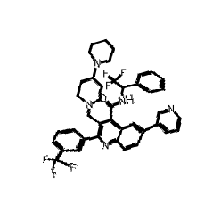 O=C(NC(c1ccccc1)C(F)(F)F)c1c(CN2CCC(N3CCCCC3)CC2)c(-c2cccc(C(F)(F)F)c2)nc2ccc(-c3cccnc3)cc12